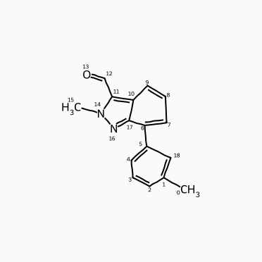 Cc1cccc(-c2cccc3c(C=O)n(C)nc23)c1